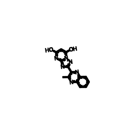 Cc1nc2ccccc2nc1-c1nc2nc(O)cc(O)n2n1